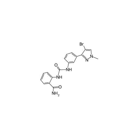 Cn1cc(Br)c(-c2cccc(NC(=O)Nc3ccccc3C(N)=O)c2)n1